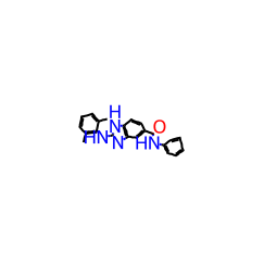 Cc1cccc(C)c1Nc1nc2cc(C(=O)Nc3ccccc3)ccc2[nH]1